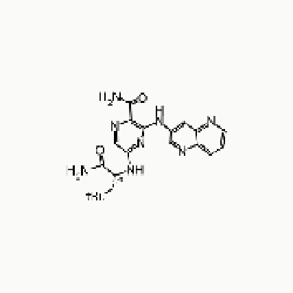 CC(C)(C)C[C@@H](Nc1cnc(C(N)=O)c(Nc2cnc3cccnc3c2)n1)C(N)=O